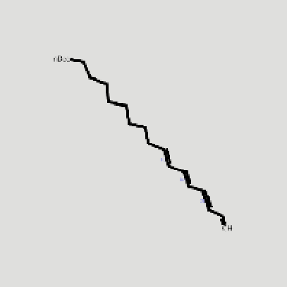 [CH]=C/C=C/C=C/C=C/CCCCCCCCCCCCCCCCCC